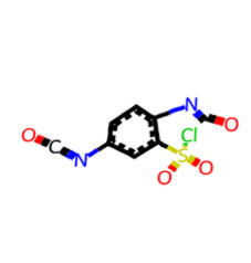 O=C=Nc1ccc(N=C=O)c(S(=O)(=O)Cl)c1